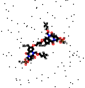 COc1cc2c(cc1OCCCOc1cc3c(cc1OC)C(=O)N1CC(OS(=O)(=O)C(F)(F)F)C[C@H]1C(=O)N3COCC[Si](C)(C)C)N(COCC[Si](C)(C)C)C(=O)[C@@H]1CC(OS(=O)(=O)C(F)(F)F)=CN1C2=O